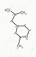 CC1CN(CN(C)C)CCO1